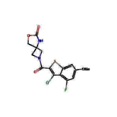 COc1cc(F)c2c(Cl)c(C(=O)N3CC4(COC(=O)N4)C3)sc2c1